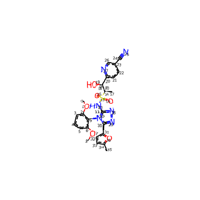 COc1cccc(OC)c1-n1c(NS(=O)(=O)[C@H](C)[C@@H](O)c2ccc(C#N)cn2)nnc1-c1ccc(C)o1